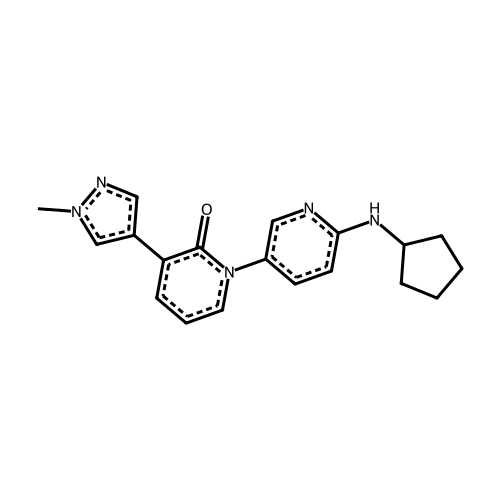 Cn1cc(-c2cccn(-c3ccc(NC4CCCC4)nc3)c2=O)cn1